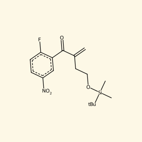 C=C(CCO[Si](C)(C)C(C)(C)C)C(=O)c1cc([N+](=O)[O-])ccc1F